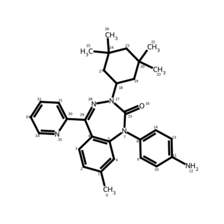 Cc1ccc2c(c1)N(c1ccc(N)cc1)C(=O)N(C1CC(C)(C)CC(C)(C)C1)N=C2c1ccccn1